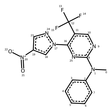 CN(c1ccccc1)c1ncc(C(F)(F)F)c(-n2cc([N+](=O)[O-])cn2)n1